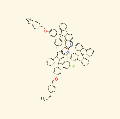 C=Cc1ccc(COc2ccc(C3(c4ccc(F)cc4)c4ccccc4-c4ccc(N(c5cccc(F)c5)c5ccc6c(c5)C5(c7ccccc7-6)c6ccccc6-c6ccc(N(c7cccc(F)c7)c7ccc8c(c7)C(c7ccc(F)cc7)(c7ccc(OCc9ccc(C=C)cc9)cc7)c7ccccc7-8)cc65)cc43)cc2)cc1